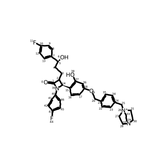 O=C1C(CC[C@H](O)c2ccc(F)cc2)[C@@H](c2ccc(OCc3ccc(C[N+]45CCN(CC4)CC5)cc3)cc2O)N1c1ccc(F)cc1